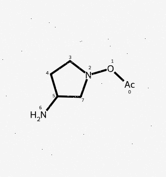 CC(=O)ON1CCC(N)C1